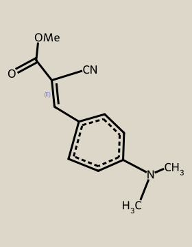 COC(=O)/C(C#N)=C/c1ccc(N(C)C)cc1